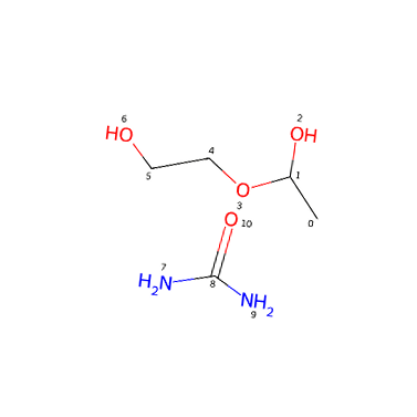 CC(O)OCCO.NC(N)=O